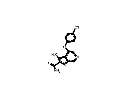 Cc1c(C(N)=O)sc2cncc(Oc3ccc(C#N)cc3)c12